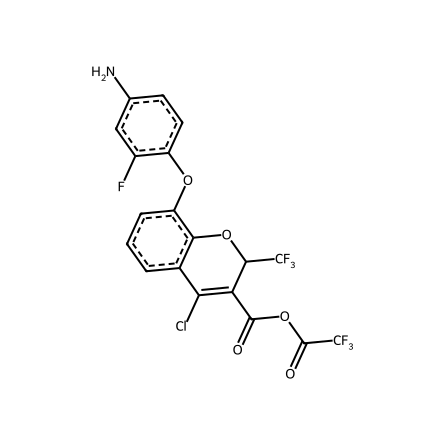 Nc1ccc(Oc2cccc3c2OC(C(F)(F)F)C(C(=O)OC(=O)C(F)(F)F)=C3Cl)c(F)c1